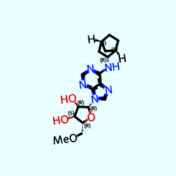 COC[C@H]1O[C@@H](n2cnc3c(N[C@@H]4C[C@@H]5CC[C@H]4C5)ncnc32)[C@H](O)[C@@H]1O